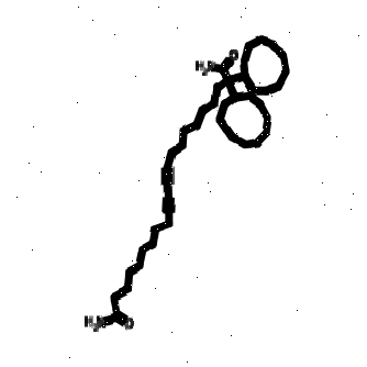 NC(=O)CCCCCCCCC#CC#CCCCCCCCC(C(N)=O)(C1CCCCCCCCC1)C1CCCCCCCCC1